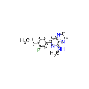 CCCc1ccc(-c2cc3c(c(NC)n2)=NCCN=3)cc1F